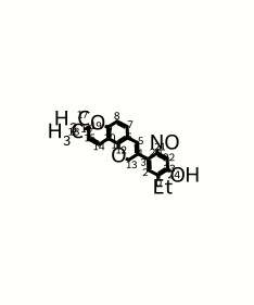 CCc1cc(C2=Cc3ccc4c(c3OC2)C=CC(C)(C)O4)c(N=O)cc1O